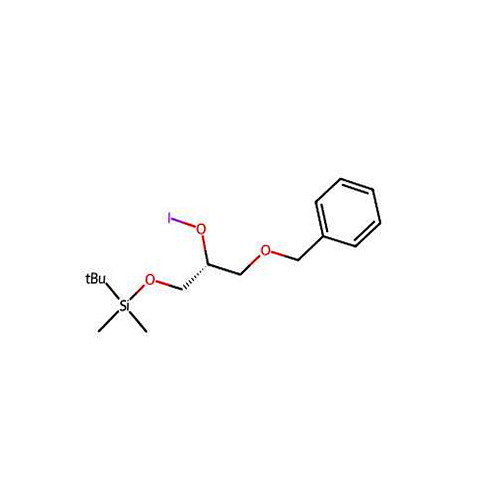 CC(C)(C)[Si](C)(C)OC[C@@H](COCc1ccccc1)OI